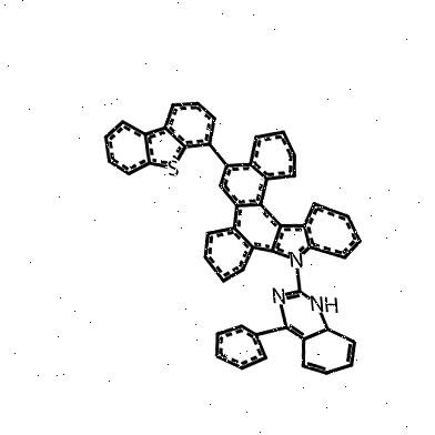 C1=CC2=C(c3ccccc3)N=C(n3c4ccccc4c4c5c6ccccc6c(-c6cccc7c6sc6ccccc67)cc5c5ccccc5c43)NC2C=C1